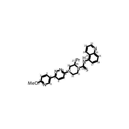 COc1ccc(-c2ccc(N3CCN(C(=S)Nc4cccc5ncccc45)C(C(C)C)C3)nn2)cn1